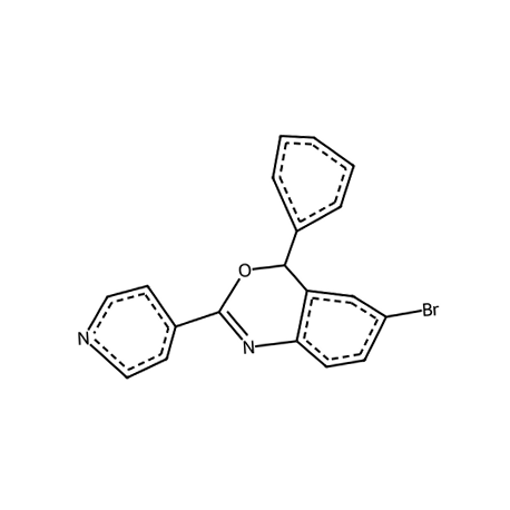 Brc1ccc2c(c1)C(c1ccccc1)OC(c1ccncc1)=N2